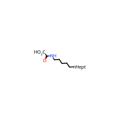 CCCCCCCCCCCCNC(=O)C(=O)O